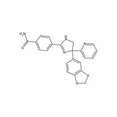 NC(=O)c1ccc(C2=NC(c3ccc4c(c3)OCO4)(c3ccccn3)CN2)cc1